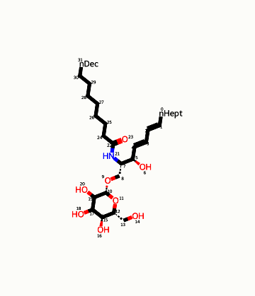 CCCCCCC/C=C/C=C/[C@@H](O)[C@H](CO[C@@H]1O[C@H](CO)[C@@H](O)C(O)C1O)NC(=O)CCCCCCCCCCCCCCCCC